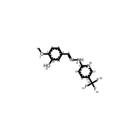 COc1ccc(C=NNc2ccc(C(F)(F)F)cn2)cc1O